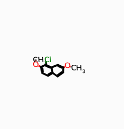 COc1ccc2ccc(OC)c(Cl)c2c1